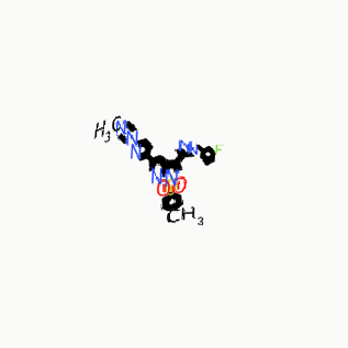 Cc1ccc(S(=O)(=O)n2cc(-c3cnn(Cc4cccc(F)c4)c3)c3cc(-c4ccc(N5CCN(C)CC5)nc4)cnc32)cc1